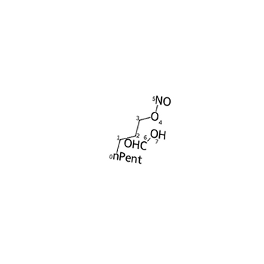 CCCCCCCCON=O.O=CO